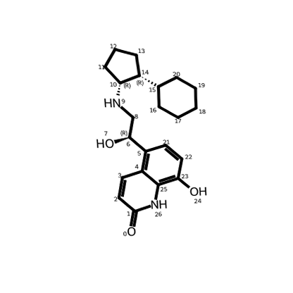 O=c1ccc2c([C@@H](O)CN[C@@H]3CCC[C@@H]3C3CCCCC3)ccc(O)c2[nH]1